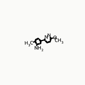 COc1ccc(-c2ccc(C)c(N)c2)nn1